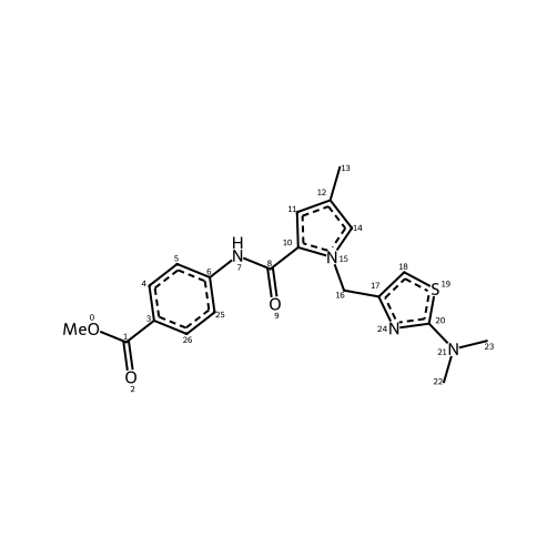 COC(=O)c1ccc(NC(=O)c2cc(C)cn2Cc2csc(N(C)C)n2)cc1